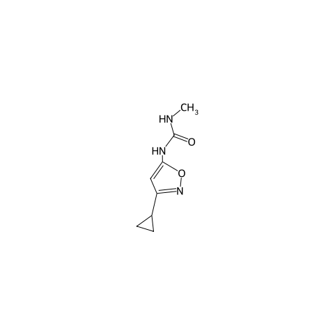 CNC(=O)Nc1cc(C2CC2)no1